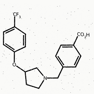 O=C(O)c1ccc(CN2CCC(Oc3ccc(C(F)(F)F)cc3)C2)cc1